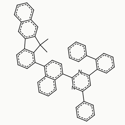 CC1(C)c2cc3ccccc3cc2-c2cccc(-c3ccc(-c4nc(-c5ccccc5)cc(-c5ccccc5-c5ccccc5)n4)c4ccccc34)c21